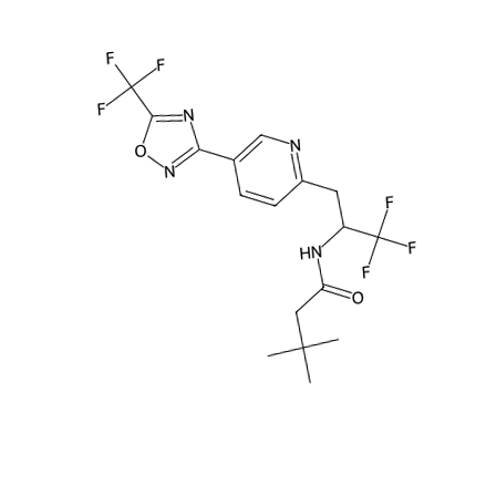 CC(C)(C)CC(=O)NC(Cc1ccc(-c2noc(C(F)(F)F)n2)cn1)C(F)(F)F